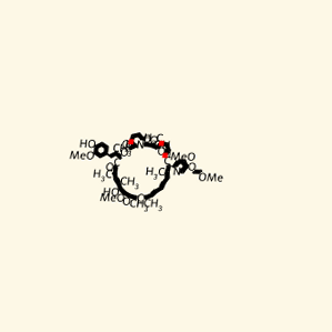 COCCOc1cnc([C@H]2C[C@@H]3CC[C@@H](C)[C@@](O)(O3)C(=O)C(=O)N3CCCC[C@H]3C(=O)O[C@H]([C@H](C)C[C@@H]3CC[C@@H](O)[C@H](OC)C3)CC(=O)[C@H](C)/C=C(\C)[C@@H](O)[C@@H](OC)C(=O)[C@H](C)C[C@H](C)/C=C/C=C/C=C/2C)c(OC)c1